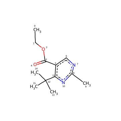 CCOC(=O)c1cnc(C)nc1C(C)(C)C